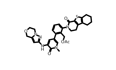 CC(=O)OCc1c(-c2cc(Nc3cc4n(n3)CCOC4)c(=O)n(C)c2)cccc1N1CCc2c(sc3c2CCCC3)C1=O